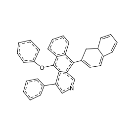 C1=CC2=CC=C(c3c4ccccc4c(Oc4ccccc4)c4c(-c5ccccc5)cncc34)CC2C=C1